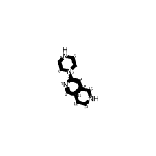 c1nc(N2CCNCC2)cc2c1CCNC2